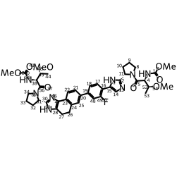 COC(=O)N[C@H](C(=O)N1CCC[C@H]1c1ncc(-c2ccc(-c3ccc4c(c3)CCc3[nH]c([C@@H]5CCCN5C(=O)[C@@H](NC(=O)OC)[C@@H](C)OC)nc3-4)cc2F)[nH]1)[C@H](C)OC